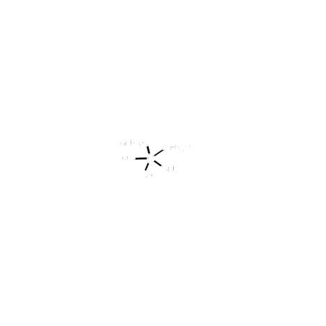 CCCCCCCP(S)(S)(S)CCCCCCC